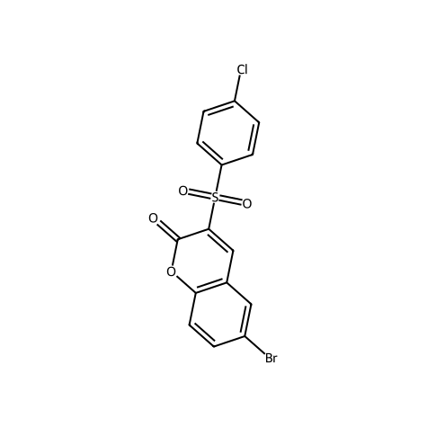 O=c1oc2ccc(Br)cc2cc1S(=O)(=O)c1ccc(Cl)cc1